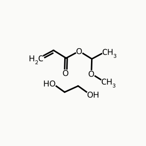 C=CC(=O)OC(C)OC.OCCO